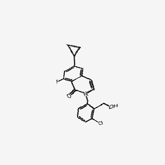 O=c1c2c(F)cc(C3CC3)cc2ccn1-c1cccc(Cl)c1CO